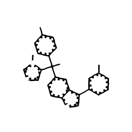 Cn1cncc1C(O)(c1ccc(Cl)cc1)c1ccc2[nH]cc(-c3cccc(Cl)c3)c2c1